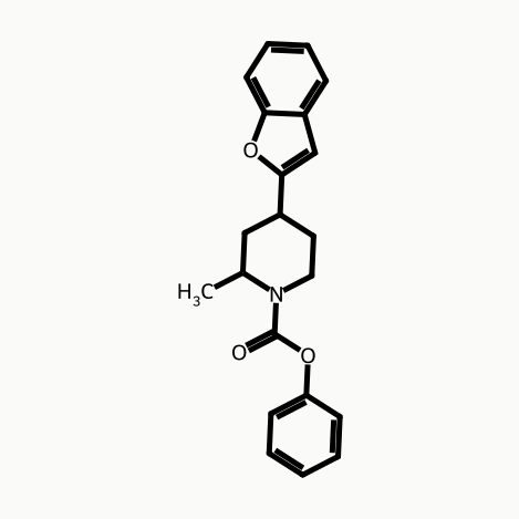 CC1CC(c2cc3ccccc3o2)CCN1C(=O)Oc1ccccc1